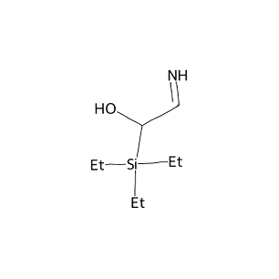 CC[Si](CC)(CC)C(O)C=N